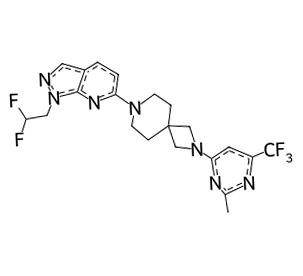 Cc1nc(N2CC3(CCN(c4ccc5cnn(CC(F)F)c5n4)CC3)C2)cc(C(F)(F)F)n1